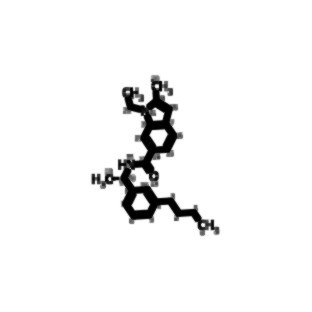 CCCCc1cccc([C@H](C)NC(=O)c2ccc3cc(C)n(CC)c3c2)c1